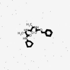 C[C@H](NC(=O)OCc1ccccc1)C(=O)N[C@@H](C)C(=O)NC1CCCCC1